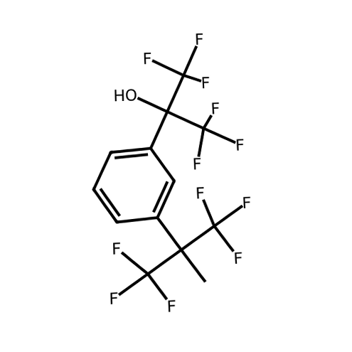 CC(c1cccc(C(O)(C(F)(F)F)C(F)(F)F)c1)(C(F)(F)F)C(F)(F)F